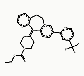 CCOC(=O)N1CCC(=C2c3ccc(-c4cc(C(F)(F)F)ccn4)cc3CCc3cccnc32)CC1